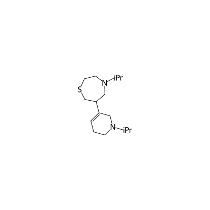 CC(C)N1CCC=C(C2CSCCN(C(C)C)C2)C1